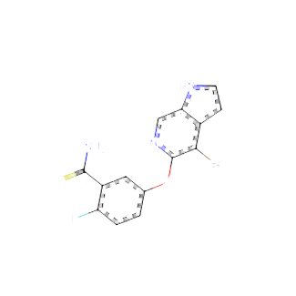 NC(=S)c1cc(Oc2ncc3[nH]ccc3c2Br)ccc1F